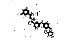 N=C(CNC(=O)c1cncc(Cc2ccc(CN3CCCC3=O)cc2)c1)c1cccc(Cl)c1